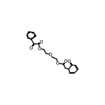 O=C(CC1C=CC=CC1=O)OCCOCCOC(=O)C(=O)c1ccccc1